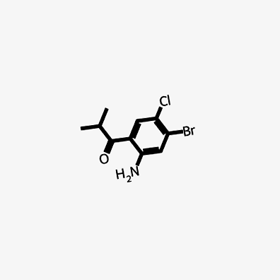 CC(C)C(=O)c1cc(Cl)c(Br)cc1N